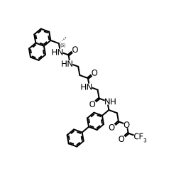 C[C@H](NC(=O)NCCC(=O)NCC(=O)NC(CC(=O)OC(=O)C(F)(F)F)c1ccc(-c2ccccc2)cc1)c1cccc2ccccc12